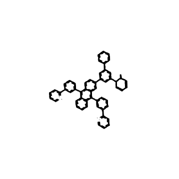 CC1C=CC=CC1c1cc(-c2ccccc2)cc(-c2ccc3c(-c4cccc(-c5ccccn5)c4)c4ccccc4c(-c4cccc(-c5ccccn5)c4)c3c2)c1